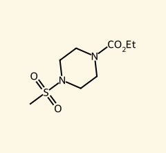 CCOC(=O)N1CCN(S(C)(=O)=O)CC1